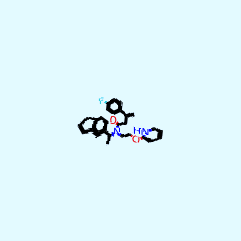 CC(CC(=O)N(CCOC1=CC=CCN1)C(C)c1ccc2c(c1)CCC2)c1ccc(F)cc1